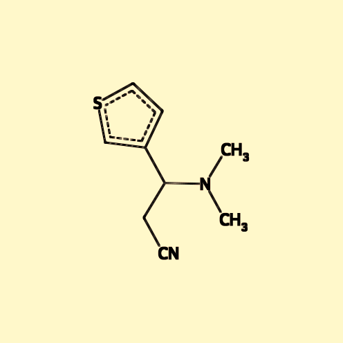 CN(C)C(CC#N)c1ccsc1